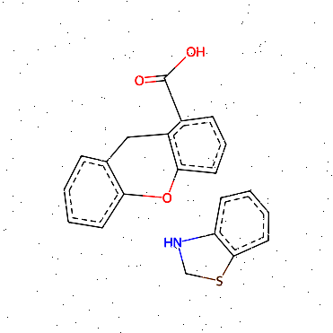 O=C(O)c1cccc2c1Cc1ccccc1O2.c1ccc2c(c1)NCS2